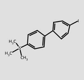 CS(C)(C)c1ccc(-c2ccc(I)cc2)cc1